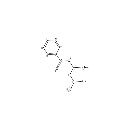 CCCCCCC(CC(C)F)OC(=O)c1ccccc1